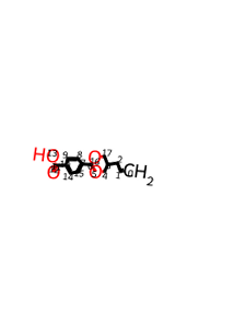 C=CCC1COC(c2ccc(C(=O)O)cc2)OC1